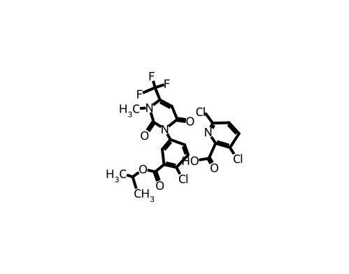 CC(C)OC(=O)c1cc(-n2c(=O)cc(C(F)(F)F)n(C)c2=O)ccc1Cl.O=C(O)c1nc(Cl)ccc1Cl